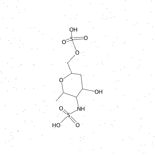 CC1OC(COS(=O)(=O)O)CC(O)C1NS(=O)(=O)O